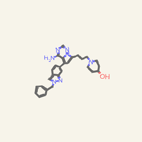 Nc1ncnn2c(CCCN3CCC(O)CC3)cc(-c3ccc4cn(Cc5ccccc5)nc4c3)c12